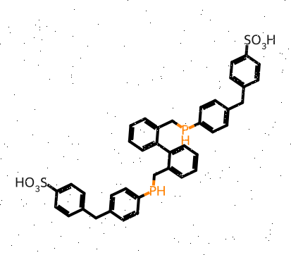 O=S(=O)(O)c1ccc(Cc2ccc(PCc3ccccc3-c3ccccc3CPc3ccc(Cc4ccc(S(=O)(=O)O)cc4)cc3)cc2)cc1